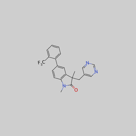 CN1C(=O)C(C)(Cc2cncnc2)c2cc(-c3ccccc3C(F)(F)F)ccc21